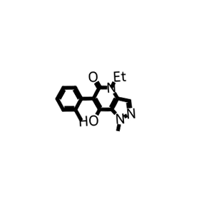 CCn1c(=O)c(-c2ccccc2C)c(O)c2c1cnn2C